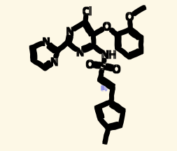 COc1ccccc1Oc1c(Cl)nc(-c2ncccn2)nc1NS(=O)(=O)/C=C/c1ccc(C)cc1